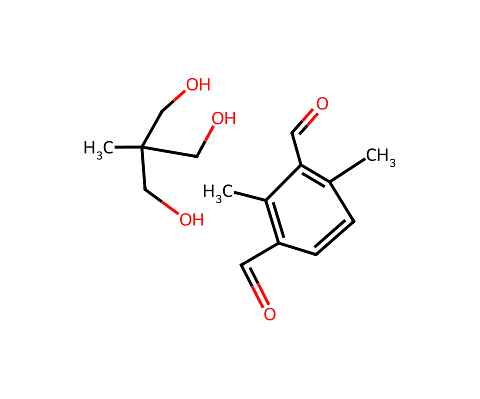 CC(CO)(CO)CO.Cc1ccc(C=O)c(C)c1C=O